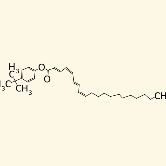 CCCCCCCCCCC\C=C/C=C/C=C\C=C\C(=O)Oc1ccc(C(C)(C)C)cc1